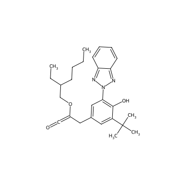 CCCCC(CC)COC(=C=O)Cc1cc(-n2nc3ccccc3n2)c(O)c(C(C)(C)C)c1